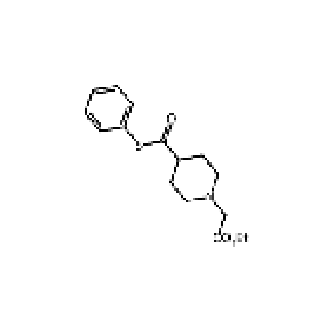 CCOC(=O)CN1CCC(C(=O)Sc2ccccc2)CC1